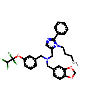 CCCCn1c(CN(Cc2cccc(OC(F)(F)C(F)F)c2)Cc2ccc3c(c2)OCO3)cnc1-c1ccccc1